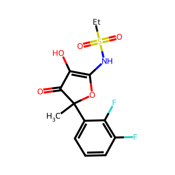 CCS(=O)(=O)NC1=C(O)C(=O)C(C)(c2cccc(F)c2F)O1